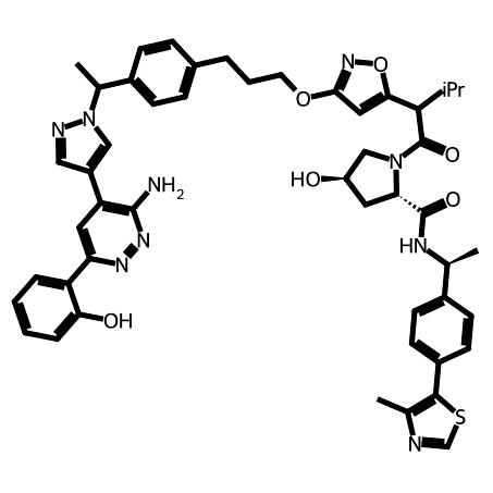 Cc1ncsc1-c1ccc([C@H](C)NC(=O)[C@@H]2C[C@@H](O)CN2C(=O)C(c2cc(OCCCc3ccc(C(C)n4cc(-c5cc(-c6ccccc6O)nnc5N)cn4)cc3)no2)C(C)C)cc1